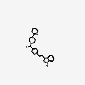 O=C(c1ccc(C=Cc2n[nH]c3ccccc23)cc1)N1CCN(c2ncccn2)CC1